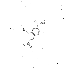 O=C(O)c1ccc(CC[N+](=O)[O-])c(CBr)c1